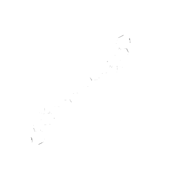 CC1(C)CC(N2CC=CC=CC2=O)CC(C)(C)N1CCOC(=O)CCCCC(=O)OCCN1C(C)(C)CC(N2CC=CC=CC2=O)CC1(C)C